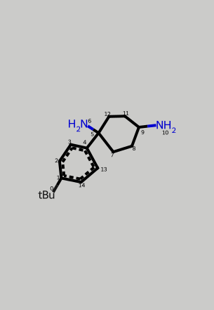 CC(C)(C)c1ccc(C2(N)CCC(N)CC2)cc1